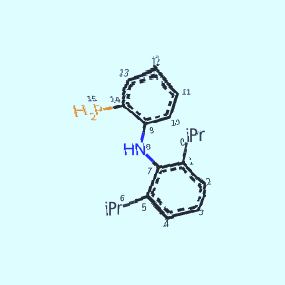 CC(C)c1cccc(C(C)C)c1Nc1ccccc1P